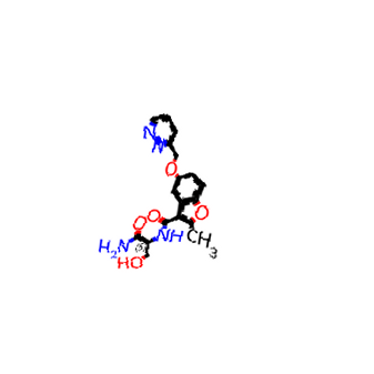 Cc1oc2ccc(OCc3cccnn3)cc2c1C(=O)N[C@@H](CO)C(N)=O